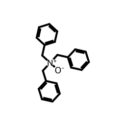 [O-][N+](Cc1ccccc1)(Cc1ccccc1)Cc1ccccc1